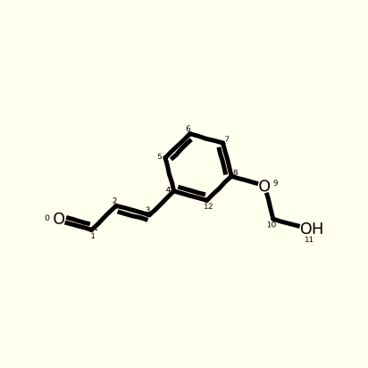 O=[C]/C=C/c1cccc(OCO)c1